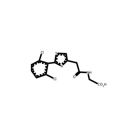 O=C(O)CNC(=O)Cc1csc(-c2c(Cl)cccc2Cl)n1